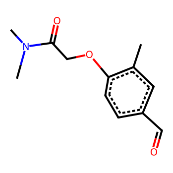 Cc1cc(C=O)ccc1OCC(=O)N(C)C